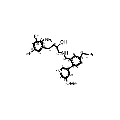 COc1cncc(-c2ccc(CC(C)C)cc2CNC[C@H](O)[C@H](Cc2cc(F)cc(F)c2)NC(C)=O)c1